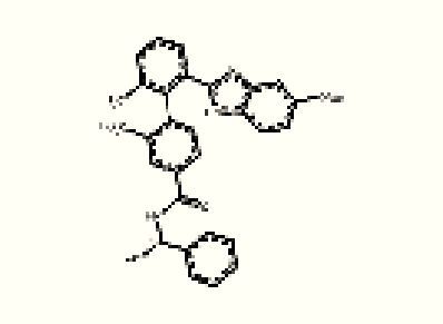 CCC[C@@H](NC(=O)c1ccc(-c2c(C)cccc2-c2nc3cc(OC)ccc3[nH]2)c(C(=O)O)c1)c1ccccc1